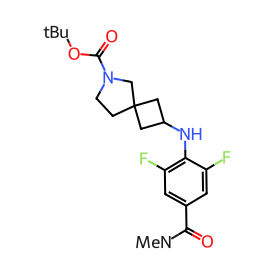 CNC(=O)c1cc(F)c(NC2CC3(CCN(C(=O)OC(C)(C)C)C3)C2)c(F)c1